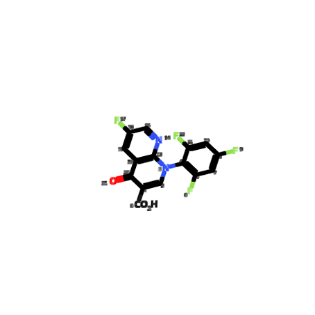 O=C(O)c1cn(-c2c(F)cc(F)cc2F)c2ncc(F)cc2c1=O